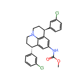 COC(=O)Nc1cc2c3c(c1)[C@H](c1cccc(Cl)c1)CCN3CC[C@H]2c1cccc(Cl)c1